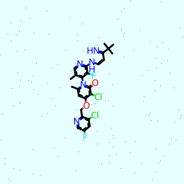 Cc1cnc(N/C=C\C(=N)C(C)(C)C)c(F)c1-n1c(C)cc(OCc2ncc(F)cc2Cl)c(Cl)c1=O